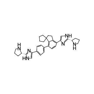 c1cc(-c2ccc(-c3c[nH]c([C@@H]4CCCN4)n3)c3c2C2(CCCC2)CC3)ccc1-c1c[nH]c([C@@H]2CCCN2)n1